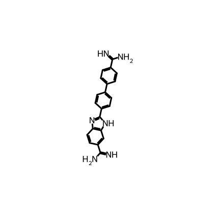 N=C(N)c1ccc(-c2ccc(-c3nc4ccc(C(=N)N)cc4[nH]3)cc2)cc1